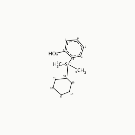 C[Si](C)(c1ccccc1O)C1CCCCC1